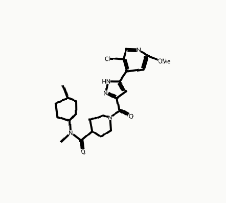 COc1cc(-c2cc(C(=O)N3CCC(C(=O)N(C)C4CCC(C)CC4)CC3)n[nH]2)c(Cl)cn1